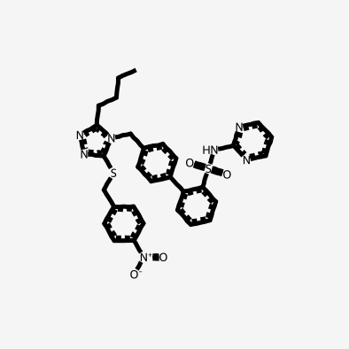 CCCCc1nnc(SCc2ccc([N+](=O)[O-])cc2)n1Cc1ccc(-c2ccccc2S(=O)(=O)Nc2ncccn2)cc1